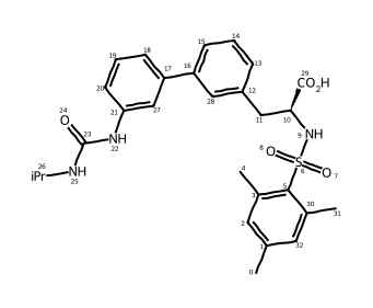 Cc1cc(C)c(S(=O)(=O)N[C@@H](Cc2cccc(-c3cccc(NC(=O)NC(C)C)c3)c2)C(=O)O)c(C)c1